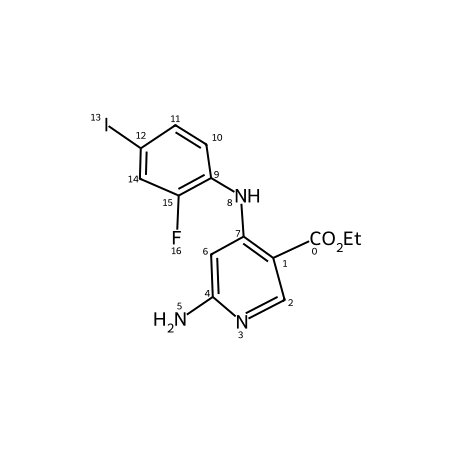 CCOC(=O)c1cnc(N)cc1Nc1ccc(I)cc1F